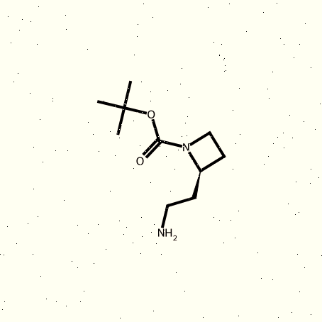 CC(C)(C)OC(=O)N1CC[C@H]1CCN